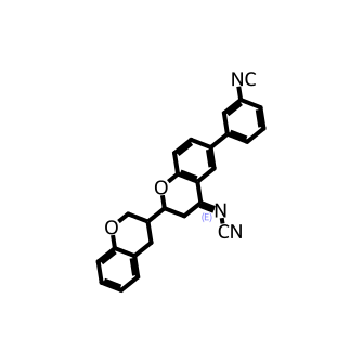 [C-]#[N+]c1cccc(-c2ccc3c(c2)/C(=N/C#N)CC(C2COc4ccccc4C2)O3)c1